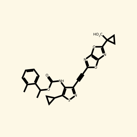 Cc1ccccc1C(C)OC(=O)Nc1c(C#Cc2nc3oc(C4(C(=O)O)CC4)nc3o2)nsc1C1CC1